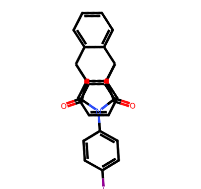 O=C1C2=C(C(=O)N1c1ccc(I)cc1)C1c3ccccc3C2c2ccccc21